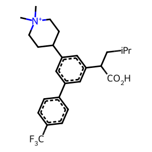 CC(C)CC(C(=O)O)c1cc(-c2ccc(C(F)(F)F)cc2)cc(C2CC[N+](C)(C)CC2)c1